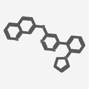 C1=CN(c2ccccc2-c2cc(Oc3ccc4cccnc4c3)ncn2)CC1